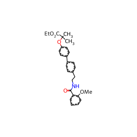 CCOC(=O)C(C)(C)Oc1ccc(-c2ccc(CCNC(=O)c3ccccc3OC)cc2)cc1